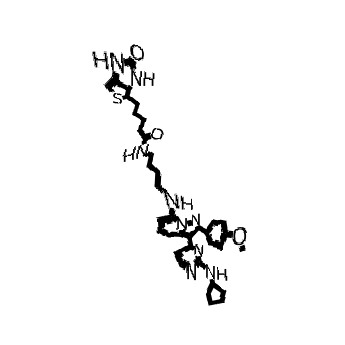 COc1ccc(-c2nn3c(NCCCCNC(=O)CCCCC4SCC5NC(=O)NC54)cccc3c2-c2ccnc(NC3CCCC3)n2)cc1